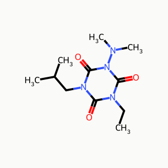 CCn1c(=O)n(CC(C)C)c(=O)n(N(C)C)c1=O